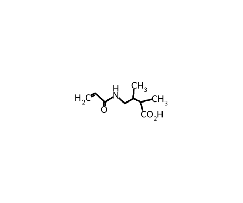 C=CC(=O)NCC(C)C(C)C(=O)O